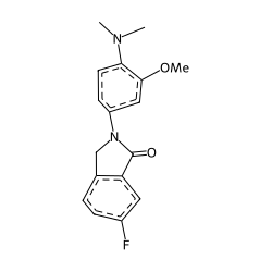 COc1cc(N2Cc3ccc(F)cc3C2=O)ccc1N(C)C